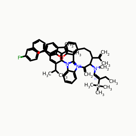 C=C(C)C1CCc2ccc3c(oc4cc(-c5ccc(F)cc5)ccc43)c2-c2n(-c3c(C(C)C)cc(-c4ccccc4)cc3C(C)C)c3ccccc3[n+]2C(=C)C1[N+](=C)/C=C(\CC)[Si](C)(C)C